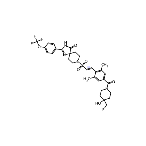 Cc1cc(C(=O)N2CCC(O)(CF)CC2)cc(C)c1/C=C/S(=O)(=O)N1CCC2(CC1)N=C(c1ccc(OC(F)(F)F)cc1)NC2=O